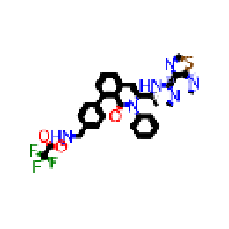 C=N/C(N[C@@H](C)c1cc2cccc(-c3ccc(CNOC(=O)C(F)(F)F)cc3)c2c(=O)n1-c1ccccc1)=C1/N=CS/C1=N/C